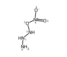 NNNO[N+](=O)[O-]